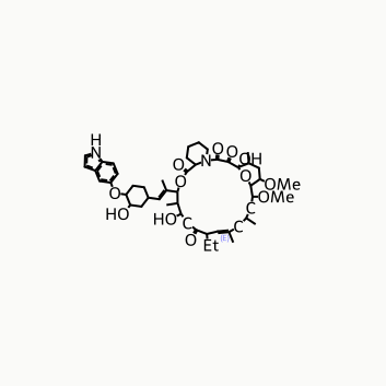 CCC1/C=C(\C)CC(C)CC(OC)C2OC(O)(C(=O)C(=O)N3CCCCC3C(=O)OC(C(C)=CC3CCC(Oc4ccc5[nH]ccc5c4)C(O)C3)C(C)C(O)CC1=O)C(C)CC2OC